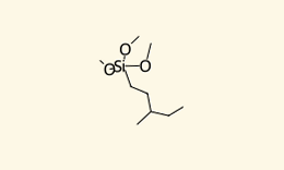 CCC(C)CC[Si](OC)(OC)OC